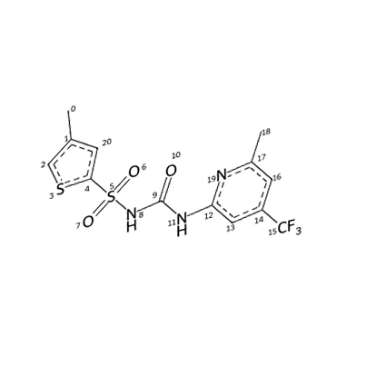 Cc1csc(S(=O)(=O)NC(=O)Nc2cc(C(F)(F)F)cc(C)n2)c1